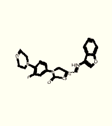 O=C1O[C@@H](CNc2coc3ccccc23)CN1c1ccc(N2CCOCC2)c(F)c1